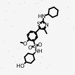 COc1ccc(-c2sc(NC3CCCCC3)nc2C)cc1S(=O)(=O)NC1CCC(O)CC1